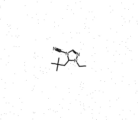 CCN1N=CN(C#N)C1CC(C)(C)C